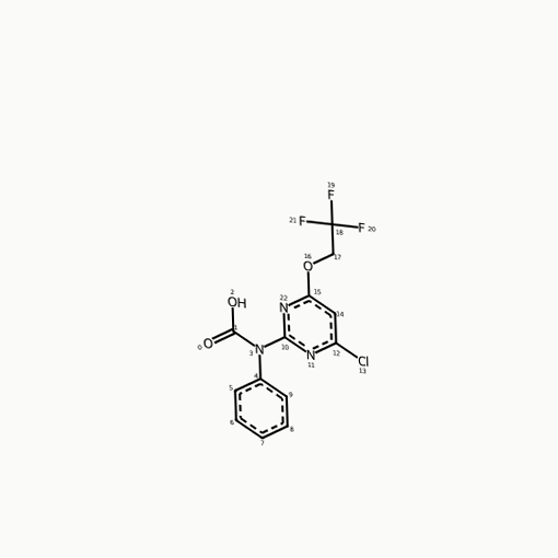 O=C(O)N(c1ccccc1)c1nc(Cl)cc(OCC(F)(F)F)n1